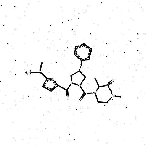 CC(N)c1ccc(C(=O)N2CC(c3ccccc3)CC2C(=O)N2CCN(C)C(=O)C2C)o1